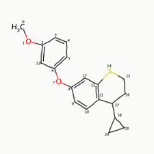 COc1cccc(Oc2ccc3c(c2)SCCC3C2CC2)c1